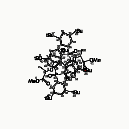 COC(=O)C(C)Oc1c(Cl)ccc(P(=O)(c2cc(C(C)(C)C)cc(C(C)(C)C)c2)c2cc(C(C)(C)C)cc(C(C)(C)C)c2)c1-c1c(P(=O)(c2cc(C(C)(C)C)cc(C(C)(C)C)c2)c2cc(C(C)(C)C)cc(C(C)(C)C)c2)ccc(Cl)c1O[C@@H](C)C(=O)OC